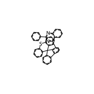 c1ccc(-c2nc(-c3cccc4c3C3(c5ccccc5Sc5ccccc53)c3ccccc3-4)c3ccccc3n2)cc1